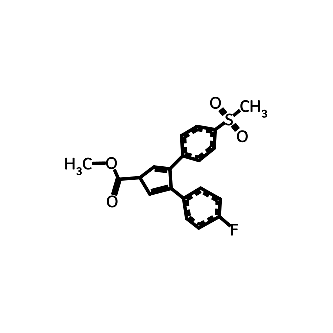 COC(=O)C1C=C(c2ccc(F)cc2)C(c2ccc(S(C)(=O)=O)cc2)=C1